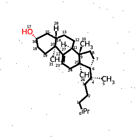 CC(C)CCC[C@@H](C)[C@H]1CC[C@@]2(C)[C@@H]3CC[C@H]4C[C@@H](O)CC[C@]4(C)C3=CC[C@]12C